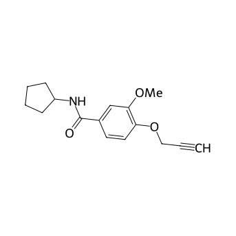 C#CCOc1ccc(C(=O)NC2CCCC2)cc1OC